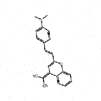 CN(C)c1ccc(/C=C/C2=CC(=C(C#N)C#N)c3ccccc3O2)cc1